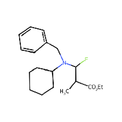 CCOC(=O)C(C)C(F)N(Cc1ccccc1)C1CCCCC1